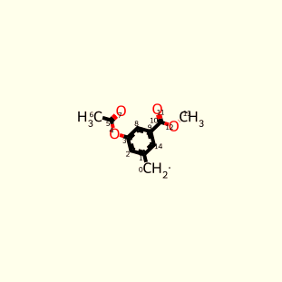 [CH2]c1cc(OC(C)=O)cc(C(=O)OC)c1